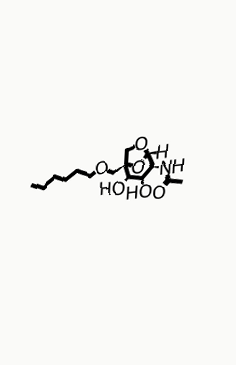 CCCCCCOC[C@@]12CO[C@@H](O1)[C@H](NC(C)=O)[C@@H](O)[C@H]2O